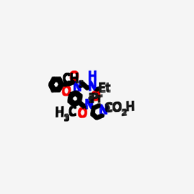 CCC(=O)NCCN1C(=O)C(C)(c2ccccc2)Oc2cc(C)c(C(=O)N(C(C)C)[C@@H]3CCCN(C(=O)O)C3)cc21